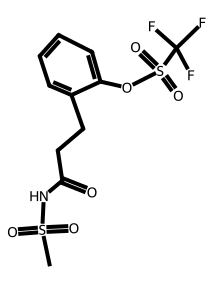 CS(=O)(=O)NC(=O)CCc1ccccc1OS(=O)(=O)C(F)(F)F